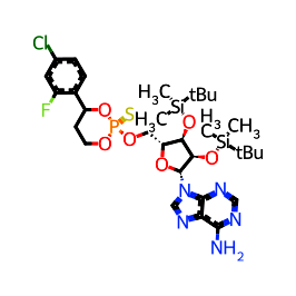 CC(C)(C)[Si](C)(C)O[C@@H]1[C@H](O[Si](C)(C)C(C)(C)C)[C@@H](COP2(=S)OCCC(c3ccc(Cl)cc3F)O2)O[C@H]1n1cnc2c(N)ncnc21